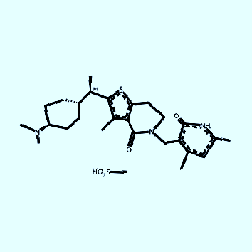 CS(=O)(=O)O.Cc1cc(C)c(CN2CCc3sc([C@H](C)[C@H]4CC[C@H](N(C)C)CC4)c(C)c3C2=O)c(=O)[nH]1